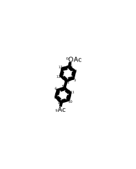 CC(=O)Oc1ccc(-c2ccc(C(C)=O)cc2)cc1